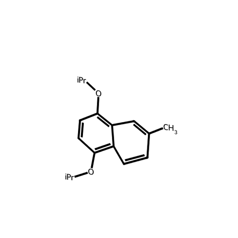 Cc1ccc2c(OC(C)C)ccc(OC(C)C)c2c1